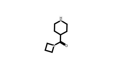 O=C(C1CCNCC1)N1CCC1